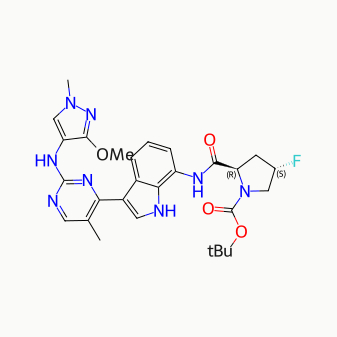 COc1nn(C)cc1Nc1ncc(C)c(-c2c[nH]c3c(NC(=O)[C@H]4C[C@H](F)CN4C(=O)OC(C)(C)C)cccc23)n1